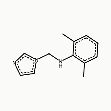 Cc1cccc(C)c1NCn1ccnc1